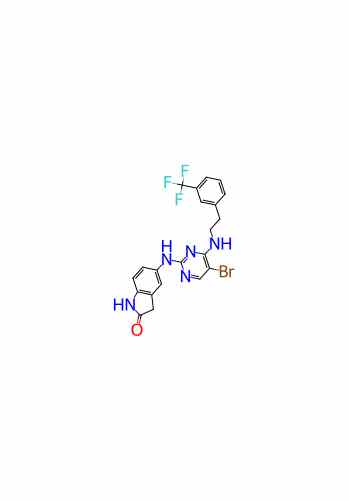 O=C1Cc2cc(Nc3ncc(Br)c(NCCc4cccc(C(F)(F)F)c4)n3)ccc2N1